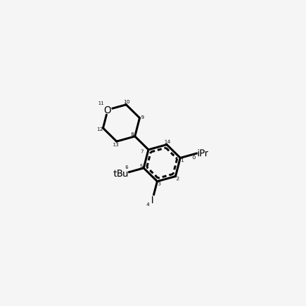 CC(C)c1cc(I)c(C(C)(C)C)c(C2CCOCC2)c1